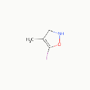 CC1=C(I)ONC1